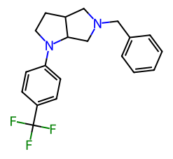 FC(F)(F)c1ccc(N2CCC3CN(Cc4ccccc4)CC32)cc1